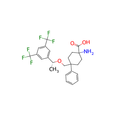 C[C@@H](OCC1(c2ccccc2)CCC(N)(C(=O)O)CC1)c1cc(C(F)(F)F)cc(C(F)(F)F)c1